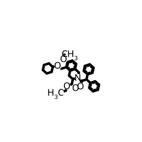 CCOC(=O)C1Cc2c(ccc(OC)c2COC2CCCCC2)CN1C(=O)C(c1ccccc1)c1ccccc1